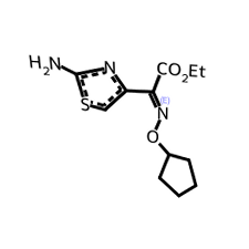 CCOC(=O)/C(=N/OC1CCCC1)c1csc(N)n1